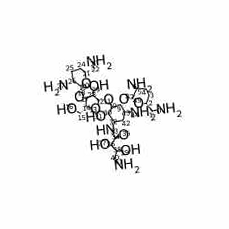 NC[C@@H]1CC[C@@H](N)[C@@H](O[C@H]2[C@H](O[C@@H]3O[C@H](CO)[C@@H](O[C@H]4O[C@@H](CN)CC[C@H]4N)[C@H]3O)[C@@H](O)[C@H](NC(=O)[C@@H](O)[C@@H](O)CN)C[C@@H]2N)O1